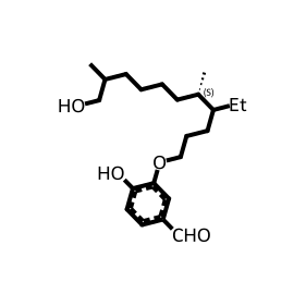 CCC(CCCOc1cc(C=O)ccc1O)[C@@H](C)CCCCC(C)CO